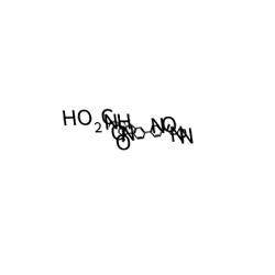 CN(C[C@@H]1OC(=O)N2c3ccc(-c4ccc(C(=O)Cn5ccnc5)nc4)cc3C[C@@H]12)C(=O)O